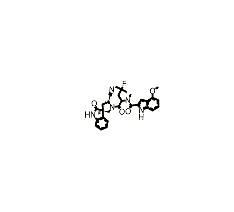 COc1cccc2[nH]c(C(=O)N(C)C(CC(C)(C)F)C(=O)N3C[C@]4(C[C@H]3C#N)C(=O)Nc3ccccc34)cc12